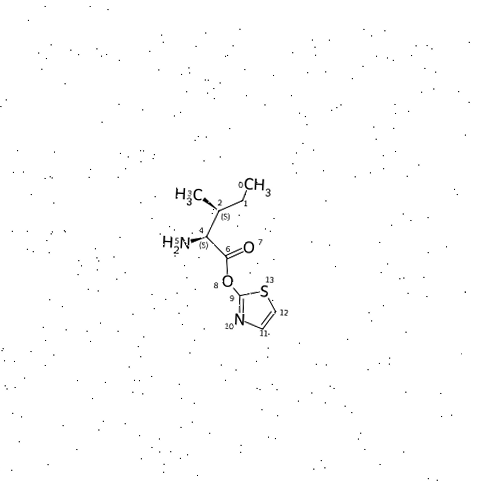 CC[C@H](C)[C@H](N)C(=O)Oc1nccs1